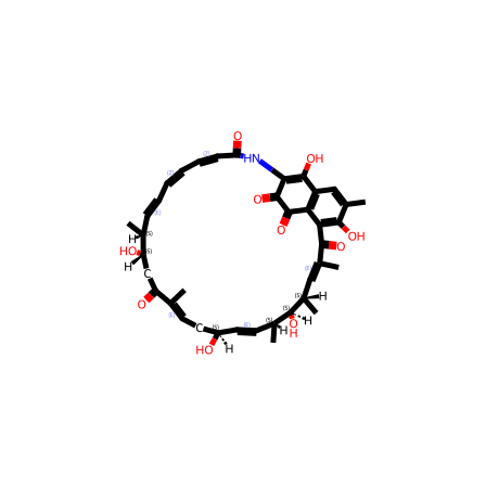 C/C1=C\C[C@H](O)/C=C/[C@H](C)[C@H](O)[C@@H](C)/C=C(\C)C(=O)c2c(O)c(C)cc3c2C(=O)C(=O)C(=C3O)NC(=O)\C=C/C=C\C=C\[C@H](C)[C@@H](O)CC1=O